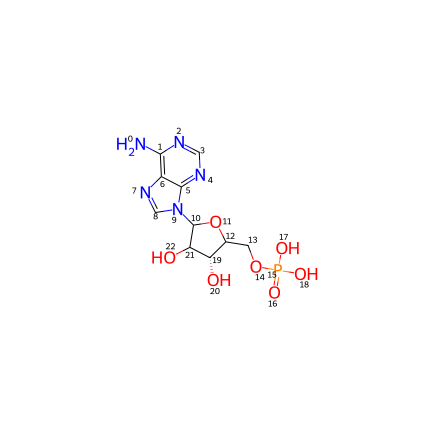 Nc1ncnc2c1ncn2C1OC(COP(=O)(O)O)[C@H](O)C1O